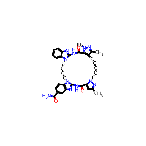 CCn1nc(C)c2c1C(=O)Nc1nc3ccccc3n1CCCCn1c(nc3cc(C(N)=O)ccc31)NC(=O)c1cc(C)nn1CCCCC2